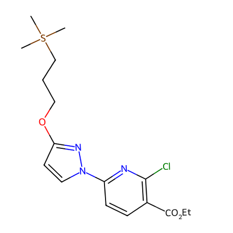 CCOC(=O)c1ccc(-n2ccc(OCCCS(C)(C)C)n2)nc1Cl